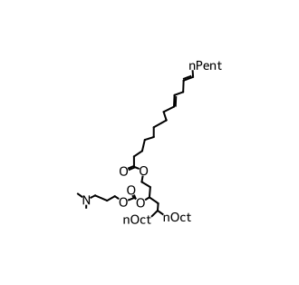 CCCCCC=CCC=CCCCCCCCC(=O)OCCC(CC(CCCCCCCC)CCCCCCCC)OC(=O)OCCCN(C)C